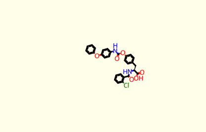 O=C(Nc1ccc(Oc2ccccc2)cc1)Oc1ccc(C[C@H](NC(=O)c2ccccc2Cl)C(=O)O)cc1